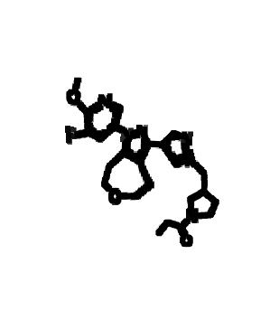 CCC(=O)N1CCC(Cn2cc(-c3nn(-c4cnc(OC)c(F)c4)c4c3CCOCC4)cn2)C1